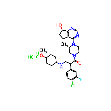 COC1CCC(NCC(C(=O)N2CCN(c3ncnc4c3[C@H](C)C[C@H]4O)CC2)c2ccc(Cl)c(F)c2)CC1.Cl.Cl